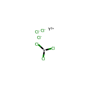 [Cl-].[Cl-].[Cl-].[Cl][Ir]([Cl])[Cl].[Y+3]